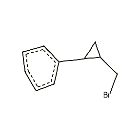 BrCC1CC1c1ccccc1